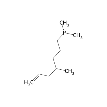 C=CCC(C)CCCP(C)C